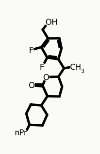 CCCC1CCC(C2CCC(C(C)c3ccc(CO)c(F)c3F)OC2=O)CC1